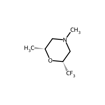 C[C@@H]1CN(C)C[C@H](C(F)(F)F)O1